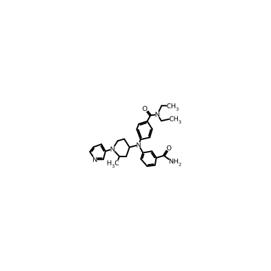 CCN(CC)C(=O)c1ccc(N(c2cccc(C(N)=O)c2)C2CCN(c3cccnc3)C(C)C2)cc1